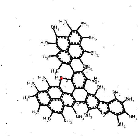 Bc1c(B)c(-c2c(B)c(B)c3sc4c(B)c(B)c(B)c(B)c4c3c2B)c(-c2c(B)c(B)c3c(B)c(B)c4c(B)c(B)c(B)c5c(B)c(B)c2c3c45)c(B)c1-c1c(B)c(B)c2c(B)c(B)c3c(B)c(B)c(B)c4c(B)c(B)c1c2c34